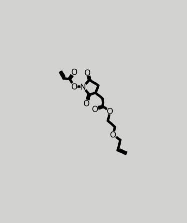 C=CCOCCOC(=O)CC1CC(=O)N(OC(=O)C=C)C1=O